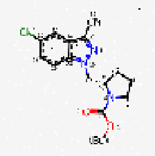 CC(C)(C)OC(=O)N1CCC[C@H]1Cn1nc(C#N)c2cc(Cl)ccc21